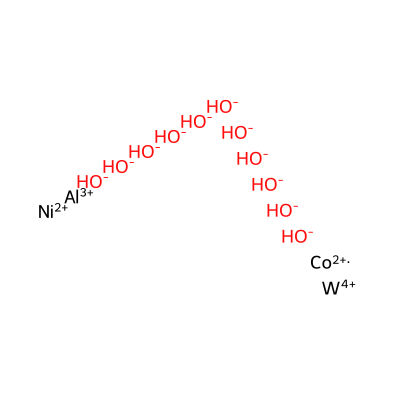 [Al+3].[Co+2].[Ni+2].[OH-].[OH-].[OH-].[OH-].[OH-].[OH-].[OH-].[OH-].[OH-].[OH-].[OH-].[W+4]